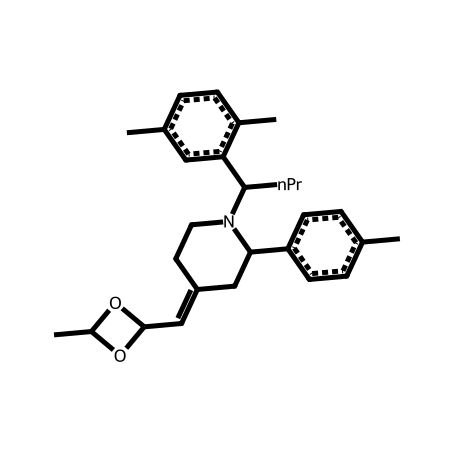 CCCC(c1cc(C)ccc1C)N1CCC(=CC2OC(C)O2)CC1c1ccc(C)cc1